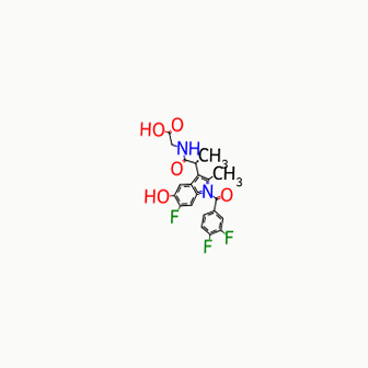 Cc1c([C@H](C)C(=O)NCC(=O)O)c2cc(O)c(F)cc2n1C(=O)c1ccc(F)c(F)c1